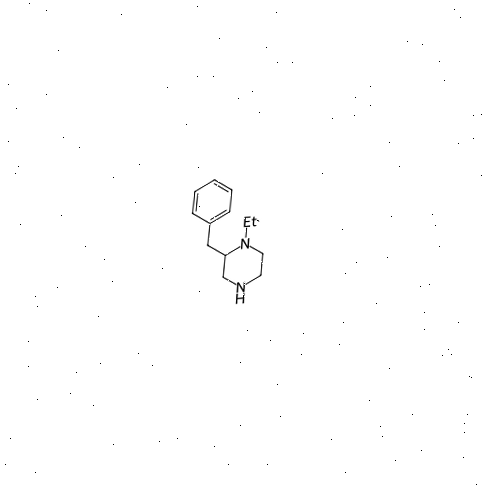 C[CH]N1CCNCC1Cc1ccccc1